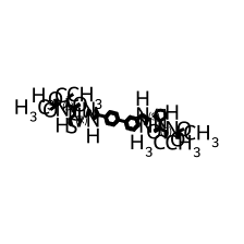 COC(=O)N[C@H](C(=O)N1CSC[C@H]1c1ncc(-c2ccc(-c3ccc4nc([C@@H]5CCCN5C(=O)[C@@H](NC(=O)OC)C(C)C)[nH]c4c3)cc2)[nH]1)C(C)C